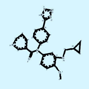 COc1ccc(N(C(=O)c2cccnc2)c2ccc(-c3nn[nH]n3)cc2)cc1OCC1CC1